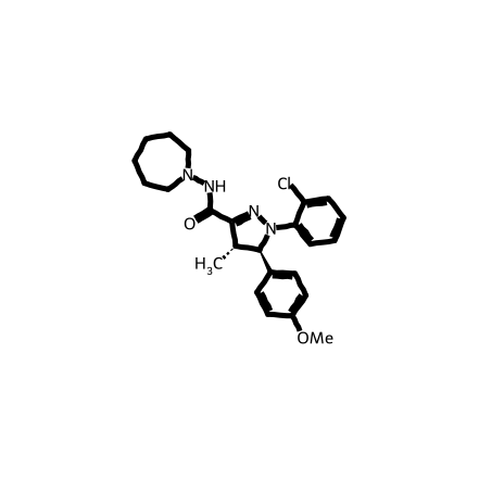 COc1ccc([C@H]2[C@H](C)C(C(=O)NN3CCCCCC3)=NN2c2ccccc2Cl)cc1